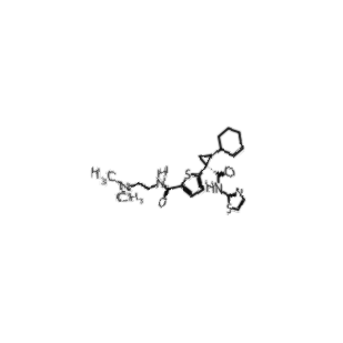 CN(C)CCNC(=O)c1ccc([C@@]2(C(=O)Nc3nccs3)C[C@H]2C2CCCCC2)s1